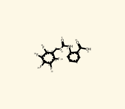 O=C(Nc1ccccc1C(=O)O)SCc1c(F)c(F)c(F)c(F)c1F